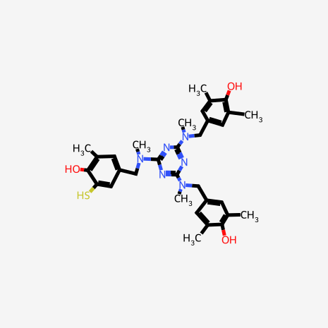 Cc1cc(CN(C)c2nc(N(C)Cc3cc(C)c(O)c(C)c3)nc(N(C)Cc3cc(C)c(O)c(S)c3)n2)cc(C)c1O